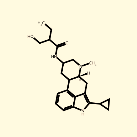 CCC(CO)C(=O)NC1CC2c3cccc4[nH]c(C5CC5)c(c34)C[C@H]2N(C)C1